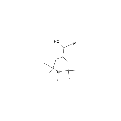 CC(C)C(O)C1CC(C)(C)N(C)C(C)(C)C1